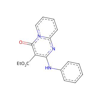 CCOC(=O)c1c(Nc2ccccc2)nc2ccccn2c1=O